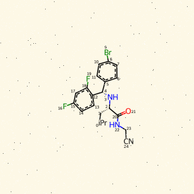 CC(C)C[C@H](N[C@@H](c1ccc(Br)cc1)c1ccc(F)cc1F)C(=O)NCC#N